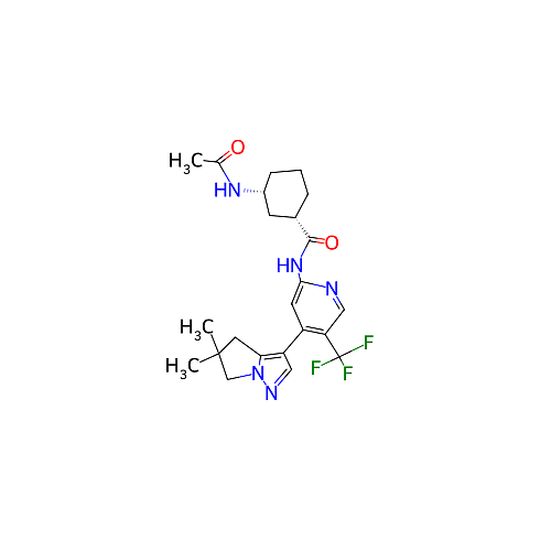 CC(=O)N[C@@H]1CCC[C@H](C(=O)Nc2cc(-c3cnn4c3CC(C)(C)C4)c(C(F)(F)F)cn2)C1